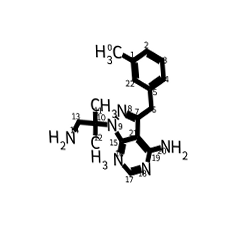 Cc1cccc(Cc2nn(C(C)(C)CN)c3ncnc(N)c23)c1